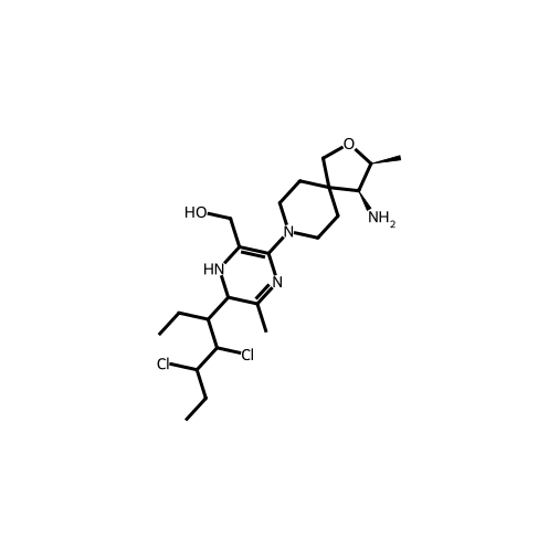 CCC(Cl)C(Cl)C(CC)C1NC(CO)=C(N2CCC3(CC2)CO[C@@H](C)[C@H]3N)N=C1C